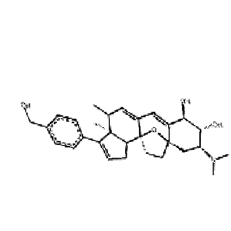 CC1C=C2C=C3[C@@H](O)[C@H](O)[C@@H](N(C)C)C[C@]34CC[C@]2(O4)C2CC=C(c3ccc(CO)cc3)[C@@]12C